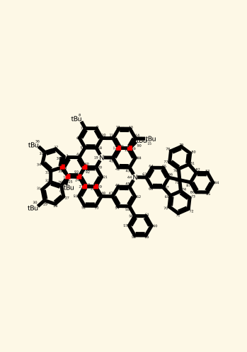 CC(C)(C)c1ccc(-c2cc(C(C)(C)C)cc(-c3ccc(C(C)(C)C)cc3)c2N(c2cccc(-n3c4ccc(C(C)(C)C)cc4c4cc(C(C)(C)C)ccc43)c2)c2cc(N(c3cc(-c4ccccc4)cc(-c4ccccc4)c3)c3ccc4c(c3)-c3ccccc3C43c4ccccc4-c4ccccc43)cc(C(C)(C)C)c2)cc1